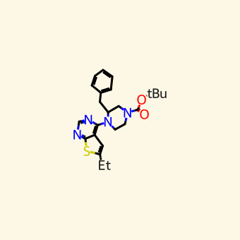 CCc1cc2c(N3CCN(C(=O)OC(C)(C)C)CC3Cc3ccccc3)ncnc2s1